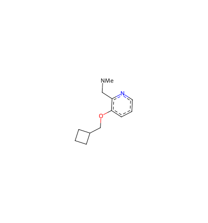 CNCc1ncccc1OCC1CCC1